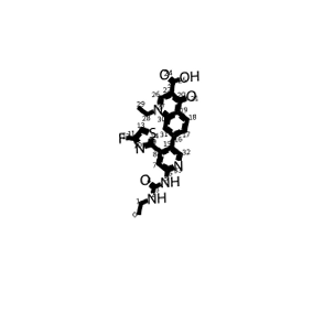 CCNC(=O)Nc1cc(-c2nc(F)cs2)c(-c2ccc3c(=O)c(C(=O)O)cn(CC)c3c2)cn1